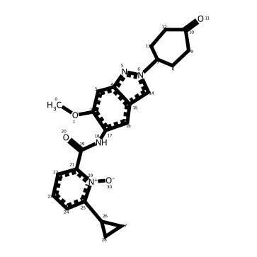 COc1cc2nn(C3CCC(=O)CC3)cc2cc1NC(=O)c1cccc(C2CC2)[n+]1[O-]